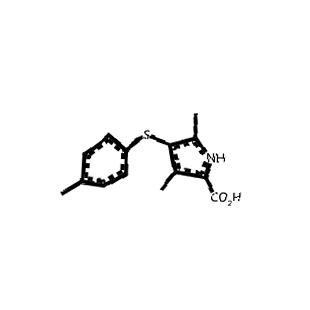 Cc1ccc(Sc2c(C)[nH]c(C(=O)O)c2C)cc1